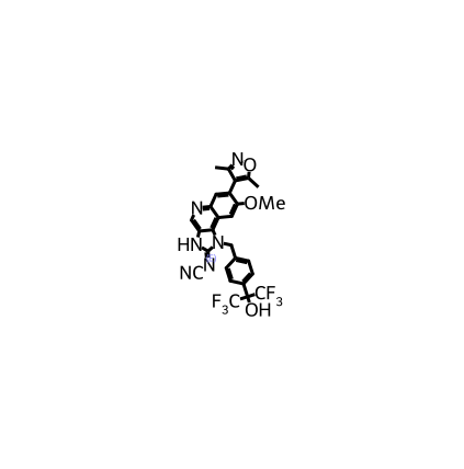 COc1cc2c(cc1-c1c(C)noc1C)ncc1[nH]/c(=N\C#N)n(Cc3ccc(C(O)(C(F)(F)F)C(F)(F)F)cc3)c12